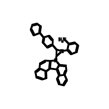 Nc1ccccc1N1C(c2ccc(-c3ccccc3)cc2)C1n1c2ccc3ccccc3c2c2c3ccccc3ccc21